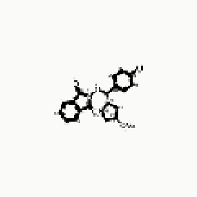 CO[C@H]1CN[C@H](C(ON2C(=O)c3ccccc3C2=O)c2ccc(Cl)cc2)C1